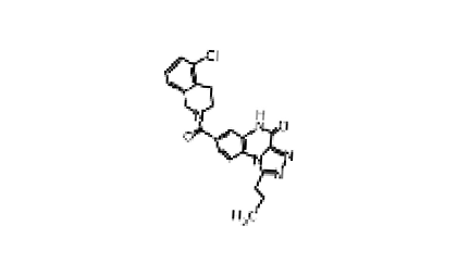 CCCc1nnc2c(=O)[nH]c3cc(C(=O)N4CCc5c(Cl)cccc5C4)ccc3n12